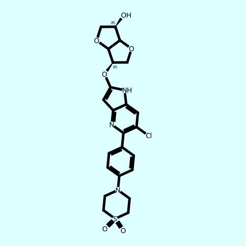 O=S1(=O)CCN(c2ccc(-c3nc4cc(O[C@@H]5COC6C5OC[C@H]6O)[nH]c4cc3Cl)cc2)CC1